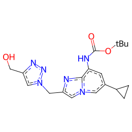 CC(C)(C)OC(=O)Nc1cc(C2CC2)cn2cc(Cn3cc(CO)nn3)nc12